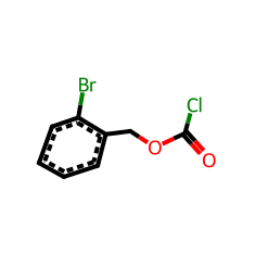 O=C(Cl)OCc1ccccc1Br